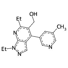 CCc1nc2c(cnn2CC)c(-c2cncc(C)c2)c1CO